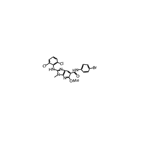 COc1nc2c(cc1C(=O)Nc1ccc(Br)cc1)nc(Nc1c(Cl)cccc1Cl)n2C